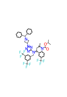 CC(C)OC(=O)N1c2ccc(C(F)(F)F)cc2[C@@H](N(Cc2cc(C(F)(F)F)cc(C(F)(F)F)c2)c2nnn(C3CN(C(c4ccccc4)c4ccccc4)C3)n2)C[C@H]1C